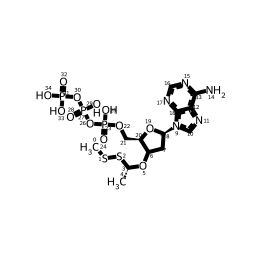 CSS[C@@H](C)OC1C[C@H](n2cnc3c(N)ncnc32)O[C@@H]1COP(=O)(O)OP(=O)(O)OP(=O)(O)O